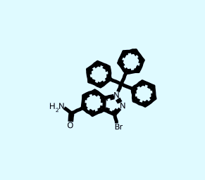 NC(=O)c1ccc2c(c1)c(Br)nn2C(c1ccccc1)(c1ccccc1)c1ccccc1